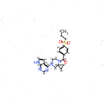 CCCS(=O)(=O)c1ccc(C(=O)N2CCN(c3ncnc4[nH]ccc34)CC23CC3)cc1